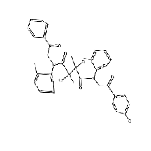 Cc1ccccc1N(CC(=O)c1ccccc1)C(=O)C(C)(Cl)C(C)(Cl)C(=O)N(CC(=O)c1ccc(Cl)cc1)c1ccccc1C